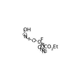 CCOC(=O)[C@@H](c1ncn2c1CCC2)N1Cc2c(F)cc(-c3ccc(C45CC(CN6CCC(CO)CC6)(C4)C5)cc3)cc2C1=O